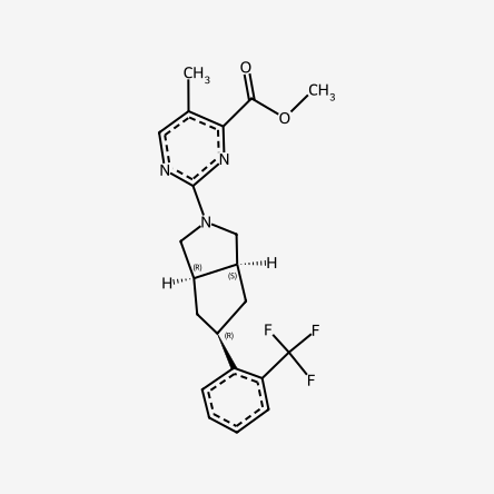 COC(=O)c1nc(N2C[C@H]3C[C@@H](c4ccccc4C(F)(F)F)C[C@H]3C2)ncc1C